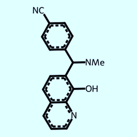 CNC(c1ccc(C#N)cc1)c1ccc2cccnc2c1O